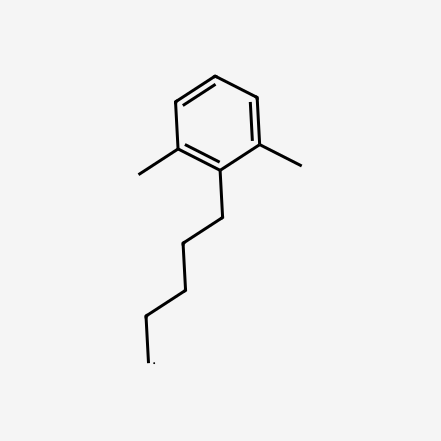 [CH2]CCCCc1c(C)cccc1C